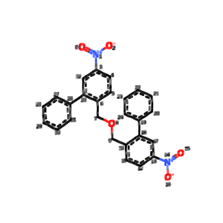 O=[N+]([O-])c1ccc(COCc2ccc([N+](=O)[O-])cc2-c2ccccc2)c(-c2ccccc2)c1